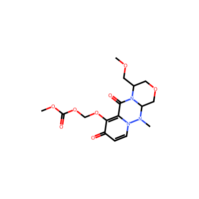 COCC1COCC2N1C(=O)c1c(OCOC(=O)OC)c(=O)ccn1N2C